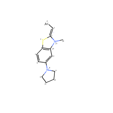 CC(=O)/C=C1\Sc2ccc(N3CCCC3)cc2N1C